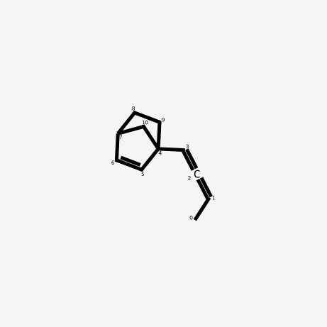 CC=C=CC12C=CC(CC1)C2